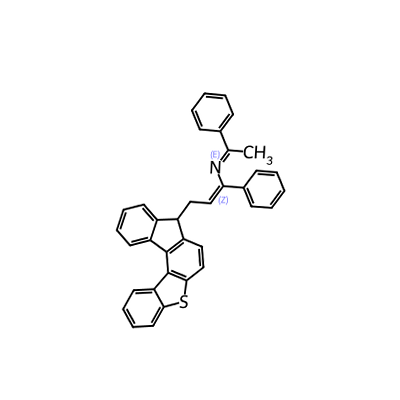 C/C(=N\C(=C/CC1c2ccccc2-c2c1ccc1sc3ccccc3c21)c1ccccc1)c1ccccc1